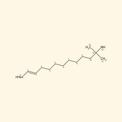 CCCCCCC=CCCCCCCCCC(C)(C)[NH]